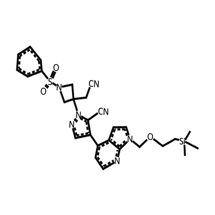 C[Si](C)(C)CCOCn1ccc2c(-c3cnn(C4(CC#N)CN(S(=O)(=O)c5ccccc5)C4)c3C#N)ccnc21